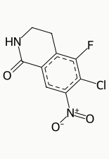 O=C1NCCc2c1cc([N+](=O)[O-])c(Cl)c2F